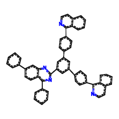 c1ccc(-c2ccc3c(-c4ccccc4)nc(-c4cc(-c5ccc(-c6nccc7ccccc67)cc5)cc(-c5ccc(-c6nccc7ccccc67)cc5)c4)nc3c2)cc1